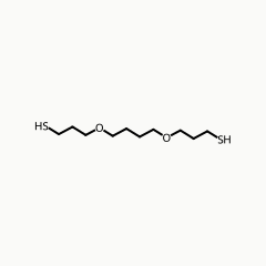 SCCCOCCCCOCCCS